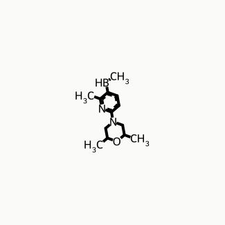 CBc1ccc(N2CC(C)OC(C)C2)nc1C